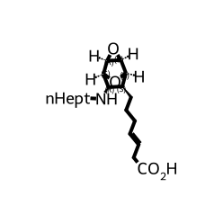 CCCCCCCN[C@@H]1[C@H](CCCC=CCC(=O)O)[C@H]2O[C@@H]1[C@H]1O[C@H]12